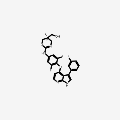 C[C@]1(CO)CN=C(Nc2cc(F)c(Oc3ccnc4[nH]cc(-c5cccc(F)c5)c34)c(F)c2)OC1